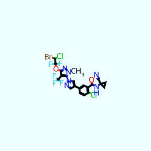 Cn1nc(OC(F)(F)C(Cl)Br)c(C(F)(F)F)c1-n1cc(-c2ccc(Cl)c(C(=O)NC3(C#N)CC3)c2)cn1